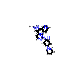 CCn1cc(-c2ccnc(Nc3ccc(N4CCCCC4)cc3)n2)c(-c2cccnc2)n1